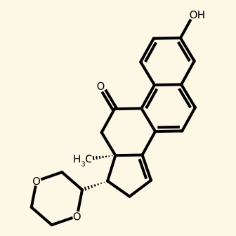 C[C@]12CC(=O)c3c(ccc4cc(O)ccc34)C1=CC[C@@H]2C1COCCO1